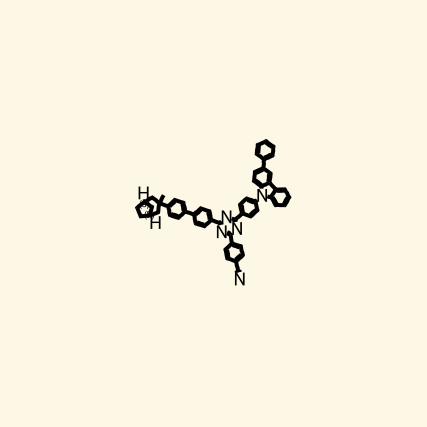 CC1(c2ccc(-c3ccc(-c4nc(-c5ccc(C#N)cc5)nc(-c5ccc(-n6c7ccccc7c7cc(-c8ccccc8)ccc76)cc5)n4)cc3)cc2)C[C@@H]2CC[C@@H](C2)C1